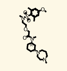 COc1cc(C)c(S(=O)(=O)N(C)CCOCC(=O)N(C)[C@@H]2CCC[C@H](N3CCCN(C)CC3)C2)c(C)c1